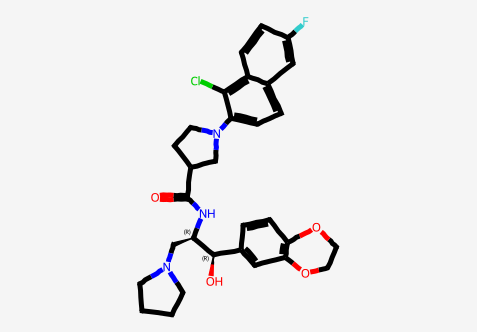 O=C(N[C@H](CN1CCCC1)[C@H](O)c1ccc2c(c1)OCCO2)C1CCN(c2ccc3cc(F)ccc3c2Cl)C1